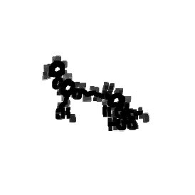 CCCc1cc(Oc2ccccc2)ccc1OCCCCNc1ccc(OC(C)(C)C(=O)O)cc1